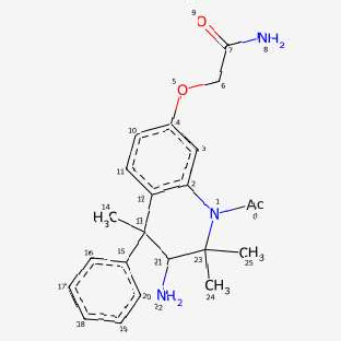 CC(=O)N1c2cc(OCC(N)=O)ccc2C(C)(c2ccccc2)C(N)C1(C)C